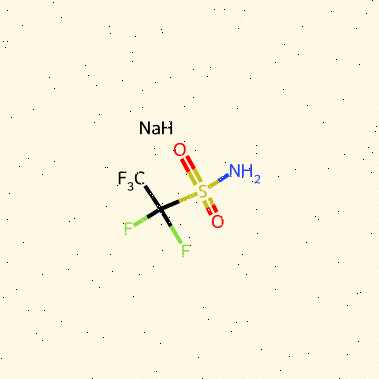 NS(=O)(=O)C(F)(F)C(F)(F)F.[NaH]